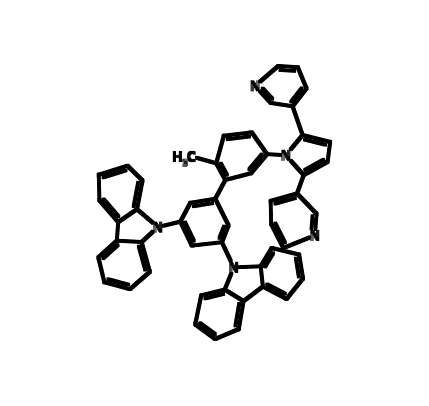 Cc1ccc(-n2c(-c3cccnc3)ccc2-c2cccnc2)cc1-c1cc(-n2c3ccccc3c3ccccc32)cc(-n2c3ccccc3c3ccccc32)c1